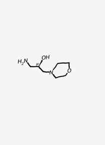 NC[C@@H](O)CN1CCOCC1